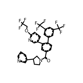 O=C(c1ccc(-c2cc(C(F)(F)F)cc(C(F)(F)F)c2)c(-c2ccc(OCC(F)(F)F)nc2)c1)N1CCC(c2cccnc2)C1